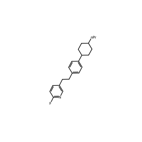 CCCC1CCC(c2ccc(CCc3ccc(F)nc3)cc2)CC1